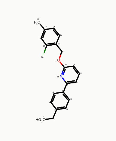 O=C(O)Cc1ccc(-c2cccc(OCc3ccc(C(F)(F)F)cc3F)n2)cc1